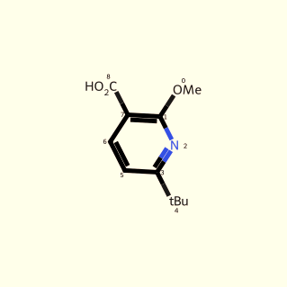 COc1nc(C(C)(C)C)ccc1C(=O)O